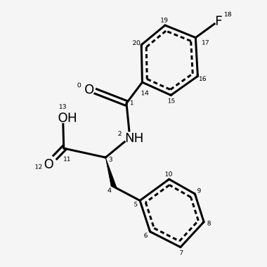 O=C(N[C@@H](Cc1ccccc1)C(=O)O)c1ccc(F)cc1